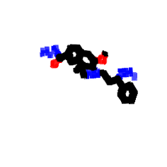 COC1Cc2ccc(C(N)=O)cc2C(C)(C)C1NCCC(N)c1ccccc1